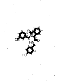 O=C(NCc1ccc(O)cc1)C1c2ccccc2C(=O)N1Cc1cccc(Cl)c1